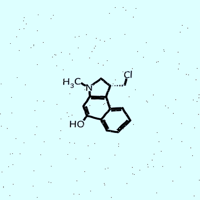 CN1C[C@H](CCl)c2c1cc(O)c1ccccc21